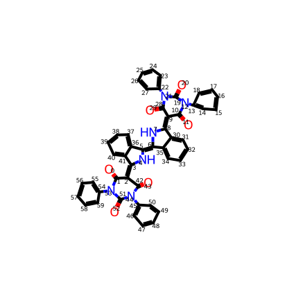 O=C1C(=c2[nH]c(=c3[nH]c(=C4C(=O)N(c5ccccc5)C(=O)N(c5ccccc5)C4=O)c4ccccc34)c3ccccc23)C(=O)N(c2ccccc2)C(=O)N1c1ccccc1